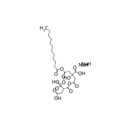 CCCCCCCCCCCC(=O)OC(=O)CC(O)(CC(=O)OC(=O)C(CC(=O)O)S(=O)(=O)O)C(=O)O.[NaH].[NaH]